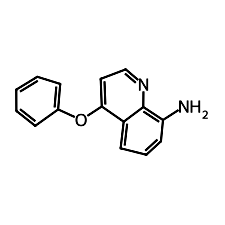 Nc1cccc2c(Oc3ccccc3)ccnc12